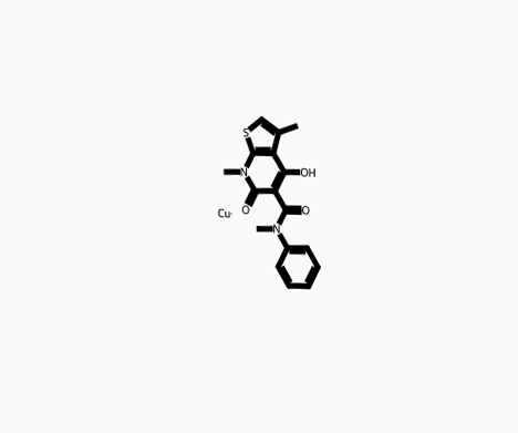 Cc1csc2c1c(O)c(C(=O)N(C)c1ccccc1)c(=O)n2C.[Cu]